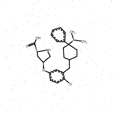 CN(C)C1(c2ccccc2)CCC(Cc2cc(O[C@@H]3CN[C@H](C(=O)O)C3)ccc2Cl)CC1